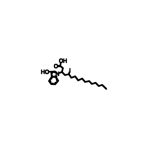 CCCCCCCCCCCC(I)CC(CC(=O)O)n1cc(O)c2ccccc21